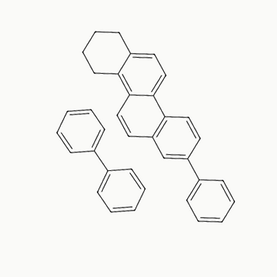 c1ccc(-c2ccc3c(ccc4c5c(ccc43)CCCC5)c2)cc1.c1ccc(-c2ccccc2)cc1